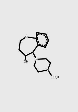 O=C(O)N1CCN(C2c3ccccc3OCCC2O)CC1